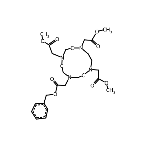 COC(=O)CN1CCN(CC(=O)OC)CCN(CC(=O)OCc2ccccc2)CCN(CC(=O)OC)CC1